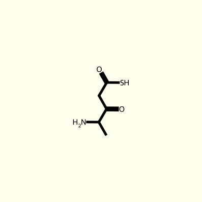 CC(N)C(=O)CC(=O)S